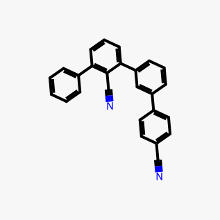 N#Cc1ccc(-c2cccc(-c3cccc(-c4ccccc4)c3C#N)c2)cc1